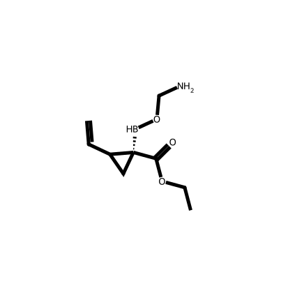 C=CC1C[C@]1(BOCN)C(=O)OCC